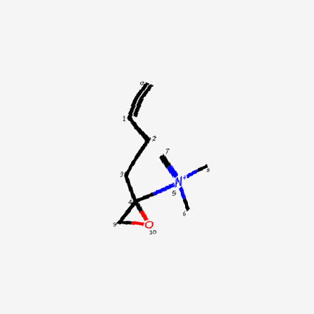 C=CCCC1([N+](C)(C)C)CO1